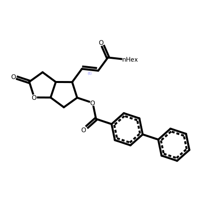 CCCCCCC(=O)/C=C/C1C(OC(=O)c2ccc(-c3ccccc3)cc2)CC2OC(=O)CC21